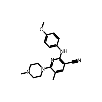 COc1ccc(Nc2nc(N3CCN(C)CC3)c(C)cc2C#N)cc1